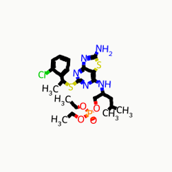 CCOP(=O)(OCC)OCC(CC(C)C)Nc1nc(SC(C)c2ccccc2Cl)nc2nc(N)sc12